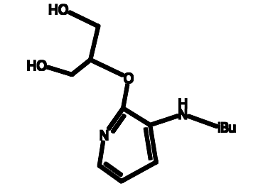 CCC(C)Nc1cccnc1OC(CO)CO